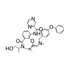 CC(CO)N1C[C@@H](C)[C@H](CN(C)Cc2ccc(Oc3ccccc3)cc2)Oc2c(NC(=O)c3cnccn3)cccc2C1=O